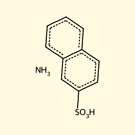 N.O=S(=O)(O)c1ccc2ccccc2c1